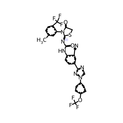 Cc1ccc(C(F)(F)F)c(N2C(=O)CS/C2=N\C(=O)Nc2ccc(-c3ncn(-c4ccc(OC(F)(F)F)cc4)n3)cc2C#N)c1